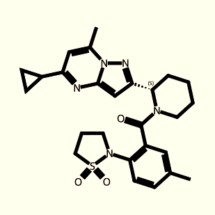 Cc1ccc(N2CCCS2(=O)=O)c(C(=O)N2CCCC[C@H]2c2cc3nc(C4CC4)cc(C)n3n2)c1